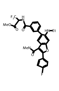 CCNc1cc2oc(-c3ccc(F)cc3)c(C(=O)NC)c2cc1-c1cccc(C(=O)NC(C(=O)OC)C(F)(F)F)c1